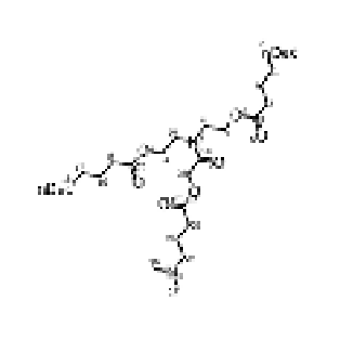 CCCCCCCCCCCCCC(=O)OCCN(CCOC(=O)CCCCCCCCCCCCC)C(=O)COC(=O)CCCN(C)C